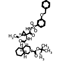 C=C[C@@H]1C[C@]1(NC(=O)[C@@H]1CN(C(=O)OC(C)(C)C)C[C@@H]2CCCC[C@@H]21)C(=O)NS(=O)(=O)c1cccc(OCc2ccccc2)c1